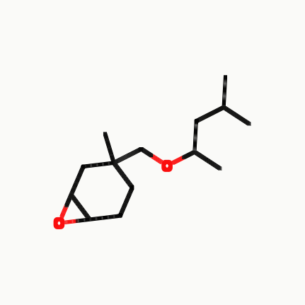 CC(C)CC(C)OCC1(C)CCC2OC2C1